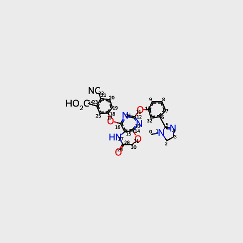 CN1CCN=C1c1cccc(Oc2nc3c(c(Oc4ccc(C#N)c(C(=O)O)c4)n2)NC(=O)CO3)c1